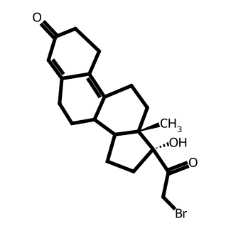 C[C@]12CCC3=C4CCC(=O)C=C4CCC3C1CC[C@]2(O)C(=O)CBr